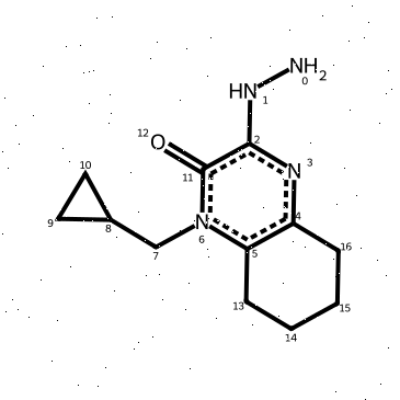 NNc1nc2c(n(CC3CC3)c1=O)CCCC2